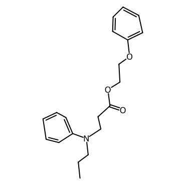 CCCN(CCC(=O)OCCOc1ccccc1)c1ccccc1